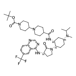 CC(C)N(C)[C@@H]1CC[C@H](N2CC[C@H](Nc3ncnc4ccc(C(F)(F)F)cc34)C2=O)[C@H](NC(=O)C2CCN(C3CCN(C(=O)OC(C)(C)C)CC3)CC2)C1